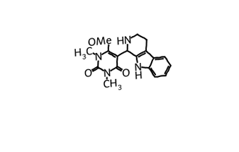 COc1c(C2NCCc3c2[nH]c2ccccc32)c(=O)n(C)c(=O)n1C